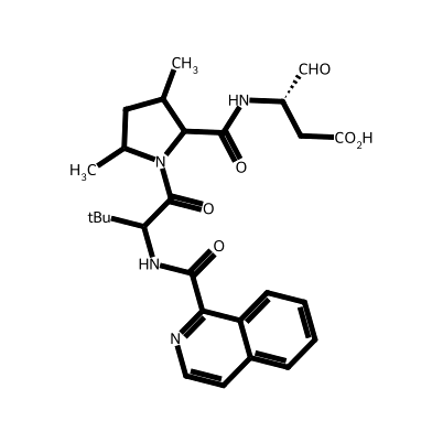 CC1CC(C)N(C(=O)C(NC(=O)c2nccc3ccccc23)C(C)(C)C)C1C(=O)N[C@H](C=O)CC(=O)O